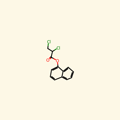 O=C(Oc1cccc2ccccc12)C(Cl)CCl